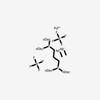 CC#N.CC#N.CCCCCCCCCCP(CCCCCCCCCC)CCCP(CCCCCCCCCC)CCCCCCCCCC.F[B-](F)(F)F.F[B-](F)(F)F.[Pd+2]